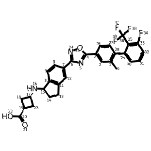 Cc1cc(-c2nc(-c3ccc4c(c3)CCC4N[C@H]3C[C@H](C(=O)O)C3)no2)ccc1-c1cccc(F)c1C(F)(F)F